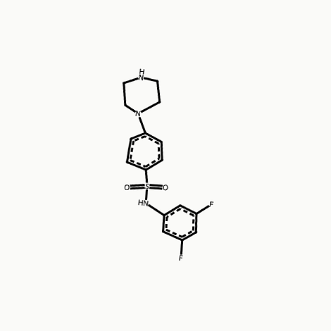 O=S(=O)(Nc1cc(F)cc(F)c1)c1ccc(N2CCNCC2)cc1